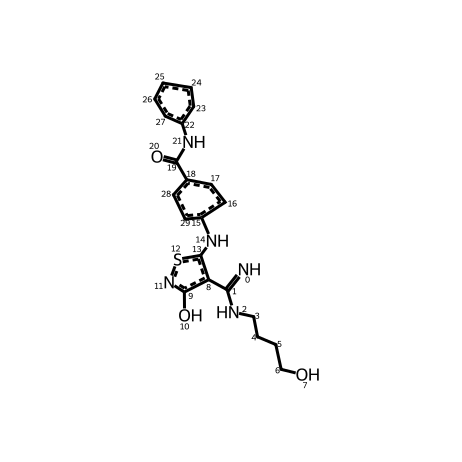 N=C(NCCCCO)c1c(O)nsc1Nc1ccc(C(=O)Nc2ccccc2)cc1